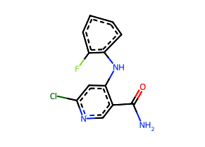 NC(=O)c1cnc(Cl)cc1Nc1ccccc1F